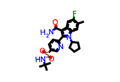 Cc1cc2c(cc1F)c(C(N)=O)c(-c1ccc(S(=O)(=O)NC(C)(C)C)cn1)n2C1CCCC1